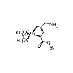 CC(C)(C)OC(=O)c1cccc(CN)c1.CCOC(=O)C=N.CCOC(C)=O